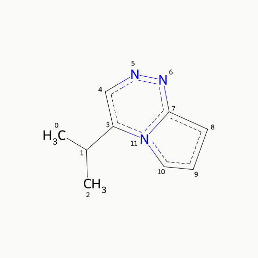 CC(C)c1cnnc2cccn12